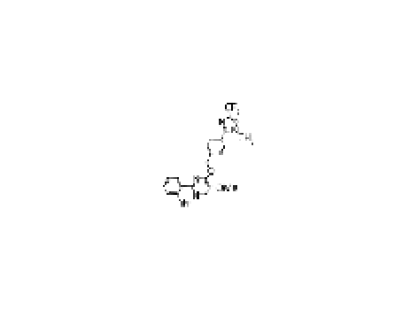 COc1cnc(-c2ccccc2C(C)C)nc1OCc1ccc(-c2nc(C(F)(F)F)cn2C)cc1